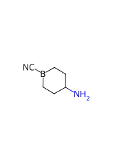 N#CB1CCC(N)CC1